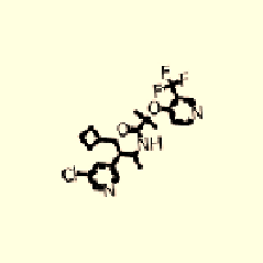 CC(NC(=O)C(C)(C)Oc1ccncc1C(F)(F)F)C(CC1CCC1)c1cncc(Cl)c1